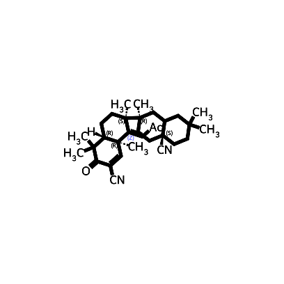 CC(=O)/C=C1/[C@@]2(C)C=C(C#N)C(=O)C(C)(C)[C@@H]2CC[C@@]1(C)[C@]1(C)CC[C@@]2(C#N)CCC(C)(C)CC2C1